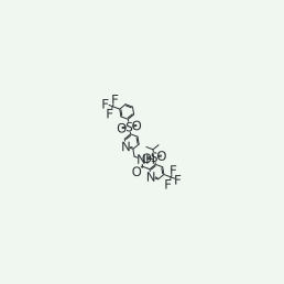 CC(C)S(=O)(=O)c1cc(C(F)(F)F)cnc1C(=O)NCc1ccc(S(=O)(=O)c2cccc(C(F)(F)F)c2)cn1